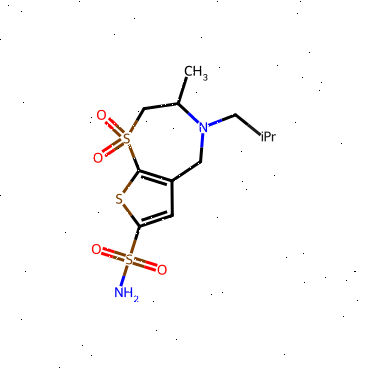 CC(C)CN1Cc2cc(S(N)(=O)=O)sc2S(=O)(=O)CC1C